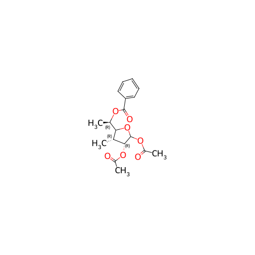 CC(=O)OC1OC([C@@H](C)OC(=O)c2ccccc2)[C@@H](C)[C@H]1OC(C)=O